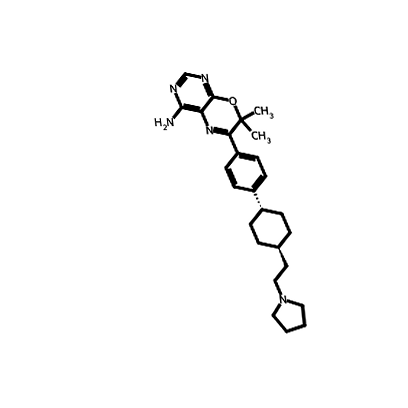 CC1(C)Oc2ncnc(N)c2N=C1c1ccc([C@H]2CC[C@H](CCN3CCCC3)CC2)cc1